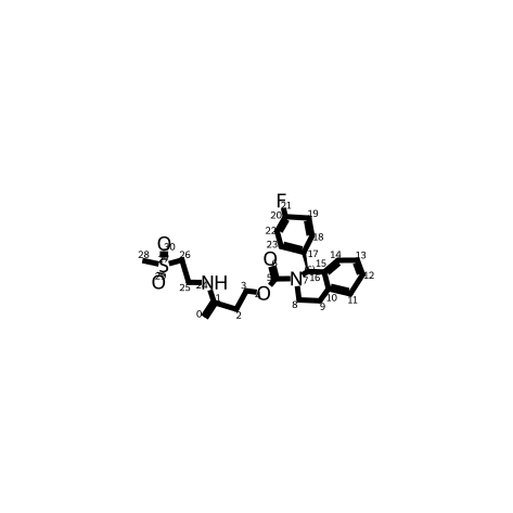 C=C(CCOC(=O)N1CCc2ccccc2[C@@H]1c1ccc(F)cc1)NCCS(C)(=O)=O